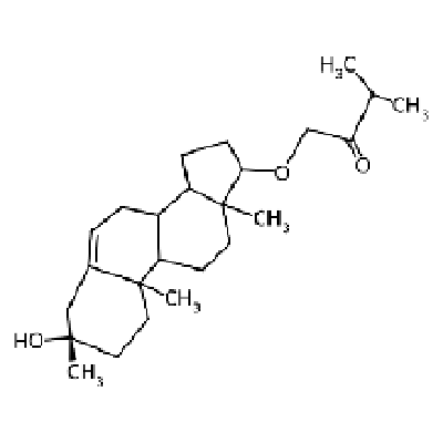 CC(C)C(=O)COC1CCC2C3CC=C4C[C@@](C)(O)CCC4(C)C3CCC12C